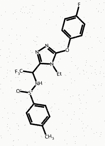 CCn1c(Oc2ccc(F)cc2)nnc1C(N[S+]([O-])c1ccc(C)cc1)C(F)(F)F